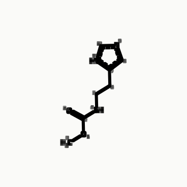 COC(=O)NCCc1cnc[nH]1